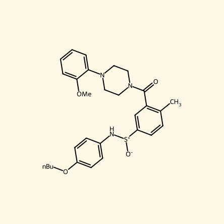 CCCCOc1ccc(N[S+]([O-])c2ccc(C)c(C(=O)N3CCN(c4ccccc4OC)CC3)c2)cc1